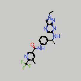 CCn1cc2ncc(N[C@@H](C)c3cccc(NC(=O)c4cnc(C(F)(F)F)c(C)c4)c3)nc2n1